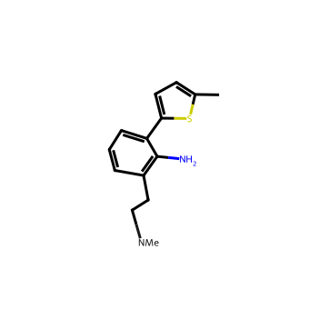 CNCCc1cccc(-c2ccc(C)s2)c1N